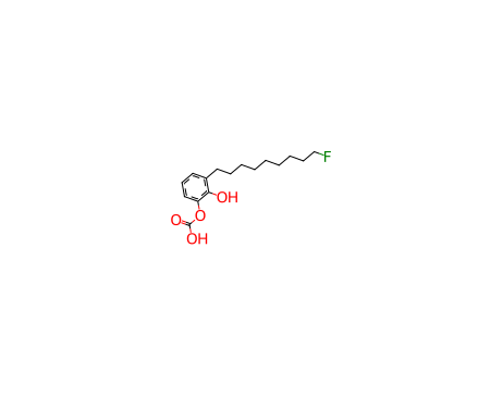 O=C(O)Oc1cccc(CCCCCCCCCF)c1O